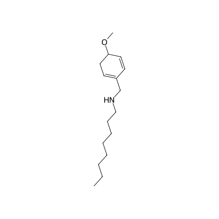 CCCCCCCCNCC1=CCC(OC)C=C1